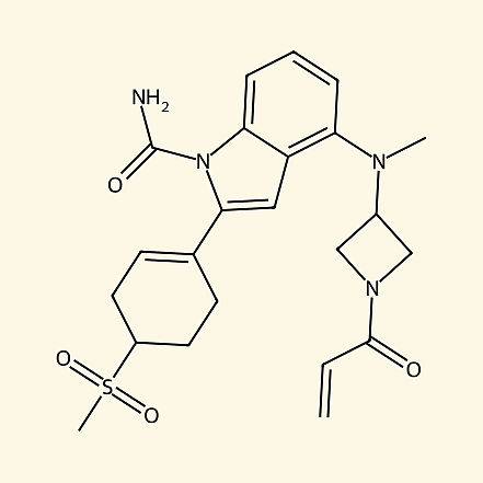 C=CC(=O)N1CC(N(C)c2cccc3c2cc(C2=CCC(S(C)(=O)=O)CC2)n3C(N)=O)C1